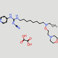 CCN(CCCCCCCCNC(=NC#N)Nc1ccncc1)OCCN1CCOCC1.O=C(O)C(=O)O